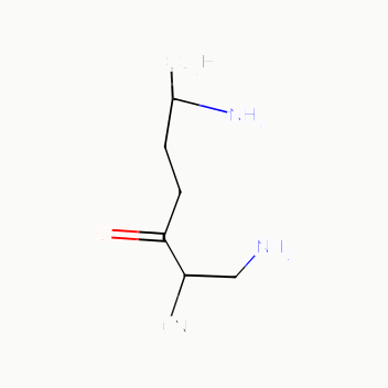 N#CC(CN)C(=O)CCC(N)C(=O)O